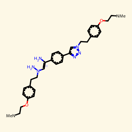 CNCCOc1ccc(CCN(N)/C=C(\N)c2ccc(-c3cn(CCc4ccc(OCCNC)cc4)nn3)cc2)cc1